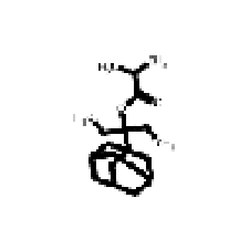 CCC(CC)(OC(=O)C(C)C)C12CC3CC(CC(C3)C1)C2